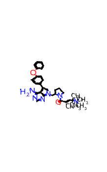 CN(C)C(C)(C)C=C(C#N)C(=O)N1CCCC1Cn1cc(-c2ccc(Oc3ccccc3)cc2)c2c(N)ncnc21